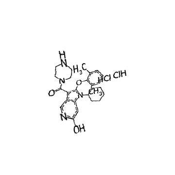 Cc1cccc(C)c1Oc1c(C(=O)N2CCNCC2)c2cnc(O)cc2n1C1CCCCC1.Cl.Cl